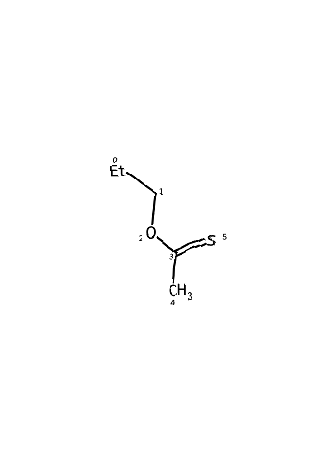 CCCOC(C)=S